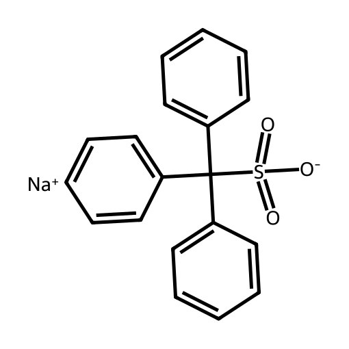 O=S(=O)([O-])C(c1ccccc1)(c1ccccc1)c1ccccc1.[Na+]